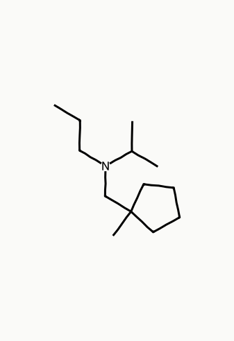 CCCN(CC1(C)CCCC1)C(C)C